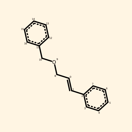 C(=C\c1ccccc1)/COCc1ccccc1